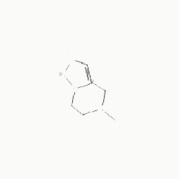 CCCN1CCN2NOC=C2C1